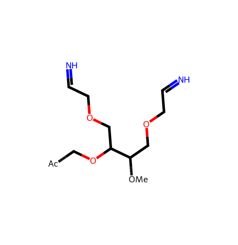 COC(COCC=N)C(COCC=N)OCC(C)=O